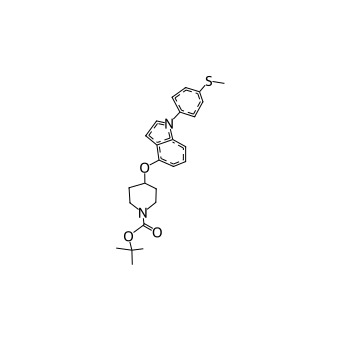 CSc1ccc(-n2ccc3c(OC4CCN(C(=O)OC(C)(C)C)CC4)cccc32)cc1